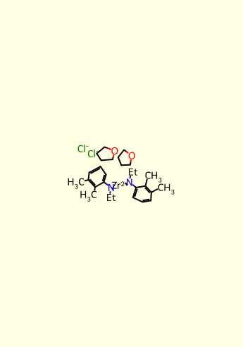 C1CCOC1.C1CCOC1.CC[N]([Zr+2][N](CC)c1cccc(C)c1C)c1cccc(C)c1C.[Cl-].[Cl-]